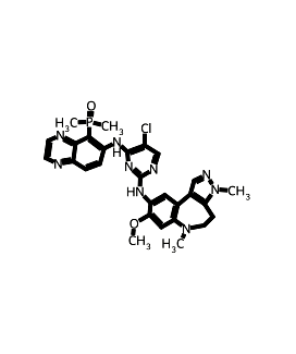 COc1cc2c(cc1Nc1ncc(Cl)c(Nc3ccc4nccnc4c3P(C)(C)=O)n1)-c1cnn(C)c1CCN2C